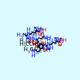 CC(C)(C)OC(=O)N[C@@H](CCC(N)=O)C(=O)O.CNC(=O)/C=C\c1ccccc1O.N=C(N)NCCC[C@H](N)C(=O)O.N=C(N)NCCC[C@H](N)C(=O)O